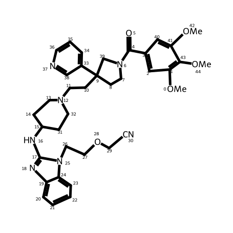 COc1cc(C(=O)N2CCC(CCN3CCC(Nc4nc5ccccc5n4CCOCC#N)CC3)(c3cccnc3)C2)cc(OC)c1OC